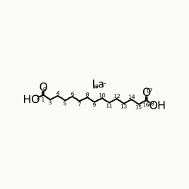 O=C(O)CCCCCCCCCCCCCC(=O)O.[La]